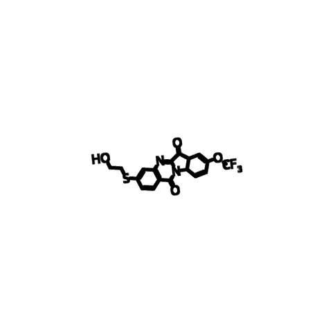 O=C1c2nc3cc(SCCO)ccc3c(=O)n2C2C=CC(OC(F)(F)F)=CC12